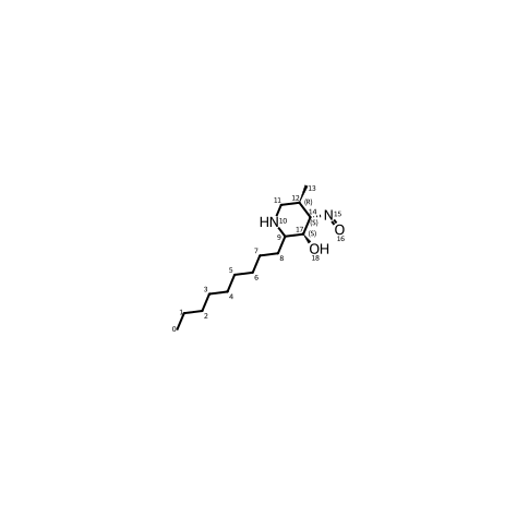 CCCCCCCCCC1NC[C@@H](C)[C@H](N=O)[C@H]1O